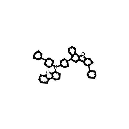 c1ccc(-c2ccc(N(c3ccc(-c4cc5c6cc(-c7ccccc7)ccc6oc5c5ccccc45)cc3)c3cccc4c3oc3ccccc34)cc2)cc1